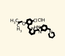 CC(C)COc1ccc(Cl)cc1Cc1cccc(-c2nc3cc(CN4CCCCC4)ccc3[nH]2)n1.Cl